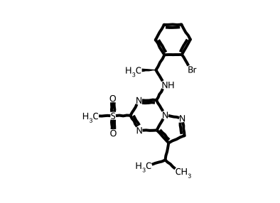 CC(C)c1cnn2c(N[C@@H](C)c3ccccc3Br)nc(S(C)(=O)=O)nc12